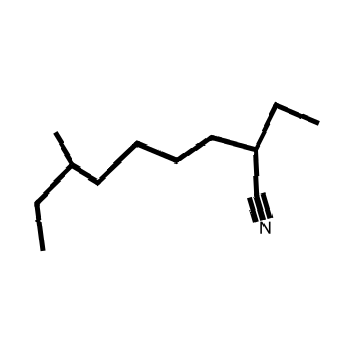 CCC(C)CCCCC(C#N)CC